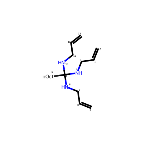 C=CCNC(CCCCCCCC)(NCC=C)NCC=C